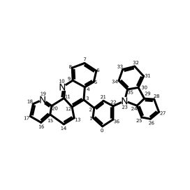 c1cc(-c2c3ccccc3nc3c2ccc2cccnc23)cc(-n2c3ccccc3c3ccccc32)c1